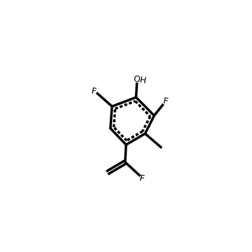 C=C(F)c1cc(F)c(O)c(F)c1C